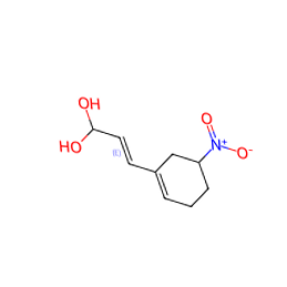 O=[N+]([O-])C1CCC=C(/C=C/C(O)O)C1